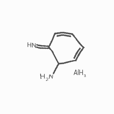 N=C1C=CC=CC1N.[AlH3]